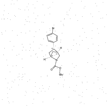 CC(C)(C)OC(=O)N1C[C@H]2C[C@@H]1C[C@@H]2c1ccc(Br)cc1